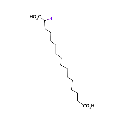 O=C(O)CCCCCCCCCCCCCC(I)C(=O)O